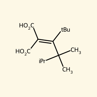 CC(C)C(C)(C)C(=C(C(=O)O)C(=O)O)C(C)(C)C